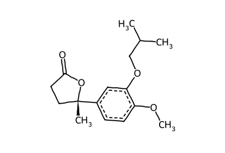 COc1ccc([C@]2(C)CCC(=O)O2)cc1OCC(C)C